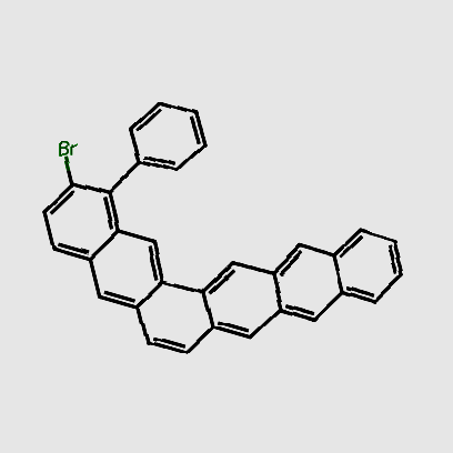 Brc1ccc2cc3ccc4cc5cc6ccccc6cc5cc4c3cc2c1-c1ccccc1